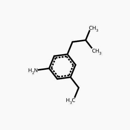 CCc1cc(N)cc(CC(C)C)c1